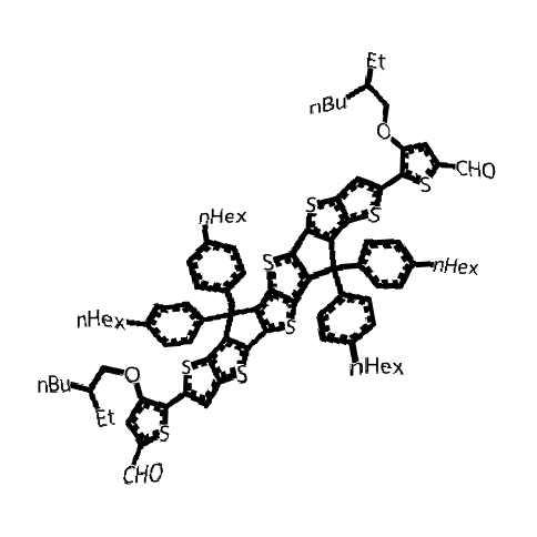 CCCCCCc1ccc(C2(c3ccc(CCCCCC)cc3)c3c(sc4cc(-c5sc(C=O)cc5OCC(CC)CCCC)sc34)-c3sc4c5c(sc4c32)-c2sc3cc(-c4sc(C=O)cc4OCC(CC)CCCC)sc3c2C5(c2ccc(CCCCCC)cc2)c2ccc(CCCCCC)cc2)cc1